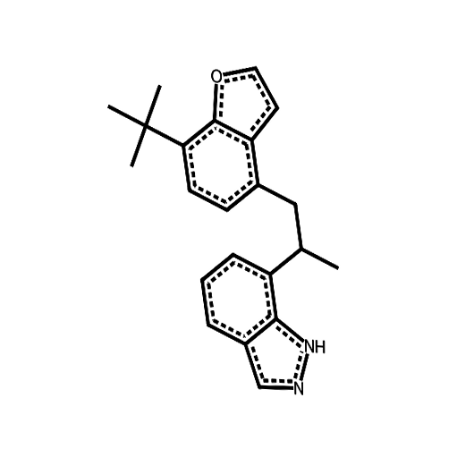 CC(Cc1ccc(C(C)(C)C)c2occc12)c1cccc2cn[nH]c12